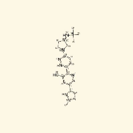 Cn1ccc(-c2cnc(-c3ccc(N4CC[C@@H](NC(C)(C)C)C4)nn3)c(O)c2)n1